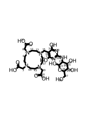 O=C(O)CN1CCN(CC(=O)O)CCN(Cc2c(O)nc(NC3C(O)OC(CO)[C@@H](O)[C@@H]3O)nc2O)CCN(CC(=O)O)CC1